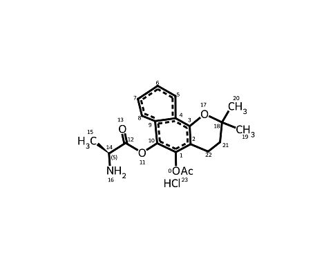 CC(=O)Oc1c2c(c3ccccc3c1OC(=O)[C@H](C)N)OC(C)(C)CC2.Cl